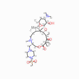 CO[C@]1(C)C[C@@H](C)CN(C)[C@H](CN2CCN(S(C)(=O)=O)CC2)COC(=O)C(C)(C)C(=O)[C@H](C)[C@H]1O[C@@H]1O[C@H](C)C[C@H](N(C)C)[C@H]1O